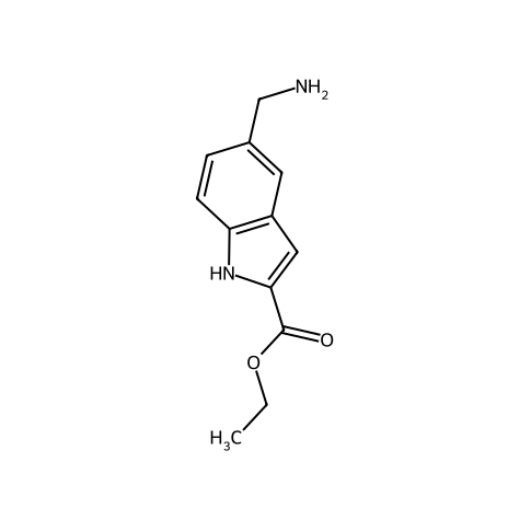 CCOC(=O)c1cc2cc(CN)ccc2[nH]1